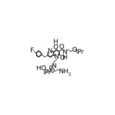 CC(C)OCCN.CC(C)OCCNC(=O)c1c(O)c2ncc(Cc3ccc(F)cc3)cc2n(CCN(C)C(=O)O)c1=O